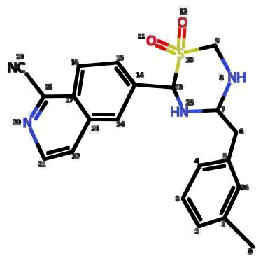 Cc1cccc(CC2NCS(=O)(=O)C(c3ccc4c(C#N)nccc4c3)N2)c1